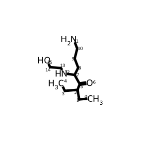 CCC(CC)C(=O)C(CCCN)NCCO